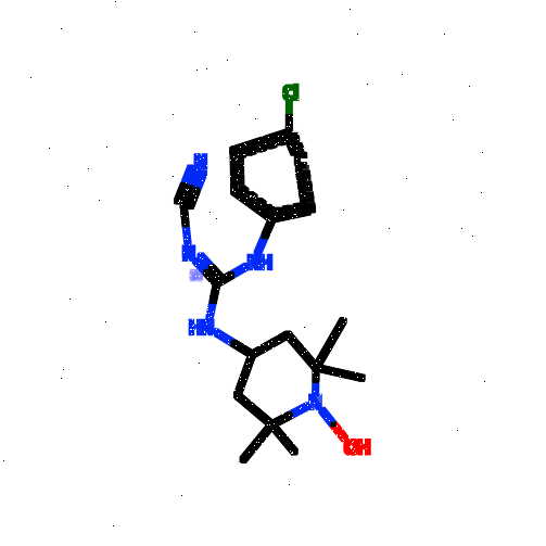 CC1(C)CC(N/C(=N/C#N)Nc2ccc(Cl)cc2)CC(C)(C)N1O